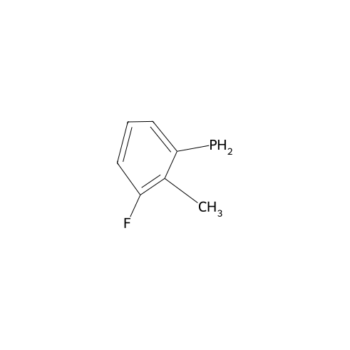 Cc1c(F)cccc1P